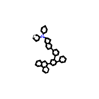 C1=Cc2c(c(-c3ccc(-c4ccccc4)c(-c4cccc(-c5ccc6cc(N(c7ccccc7)c7ccccc7)ccc6c5)c4)c3)cc3ccccc23)CC1